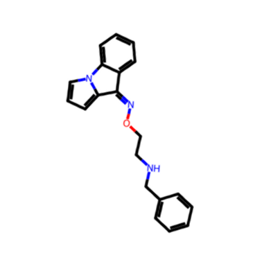 c1ccc(CNCCON=C2c3ccccc3-n3cccc32)cc1